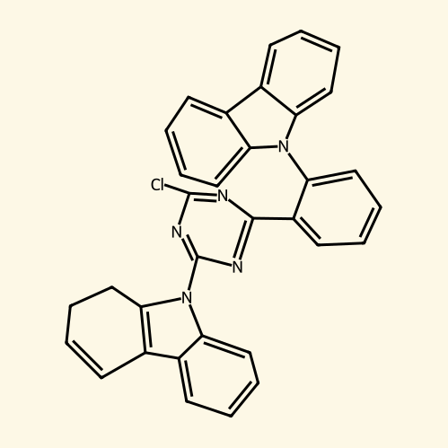 Clc1nc(-c2ccccc2-n2c3ccccc3c3ccccc32)nc(-n2c3c(c4ccccc42)C=CCC3)n1